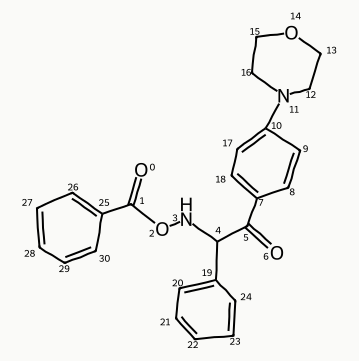 O=C(ONC(C(=O)c1ccc(N2CCOCC2)cc1)c1ccccc1)c1ccccc1